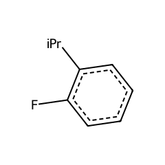 CC(C)c1ccccc1F